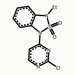 CCN1c2ccccc2N(c2ccnc(Cl)n2)S1(=O)=O